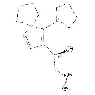 CC(C)(C)NC[C@H](O)C1=C(C2=CCCC2)C2(C=C1)CCCC2